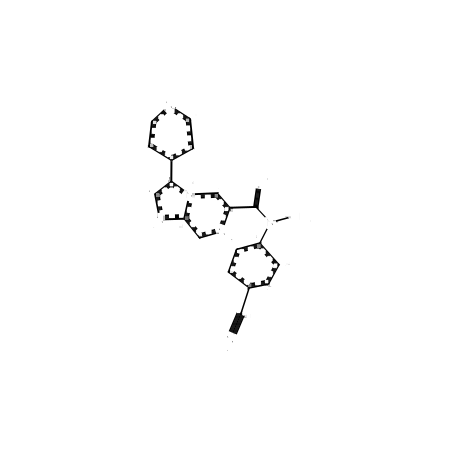 CN(C(=O)c1cn2c(-c3ccncc3)cnc2cn1)c1ccc(C#N)cc1